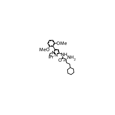 COc1cccc(OC)c1-c1cc(NC(=O)[C@H](N)CCC2CCCCC2)nn1CC(C)C